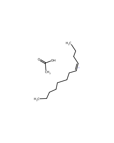 CC(=O)O.CCC/C=C\CCCCCCC